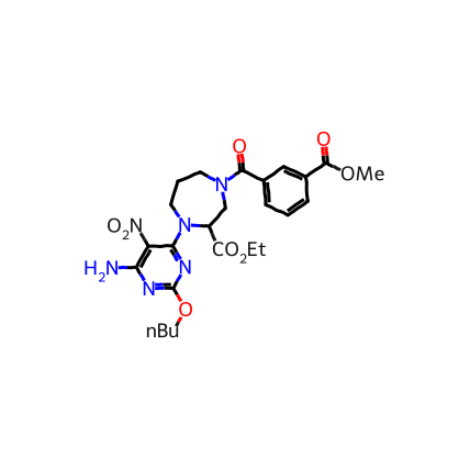 CCCCOc1nc(N)c([N+](=O)[O-])c(N2CCCN(C(=O)c3cccc(C(=O)OC)c3)CC2C(=O)OCC)n1